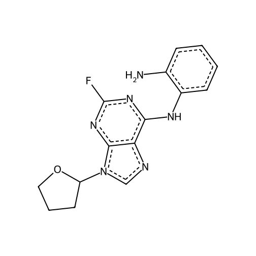 Nc1ccccc1Nc1nc(F)nc2c1ncn2C1CCCO1